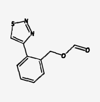 O=COCc1ccccc1-c1csnn1